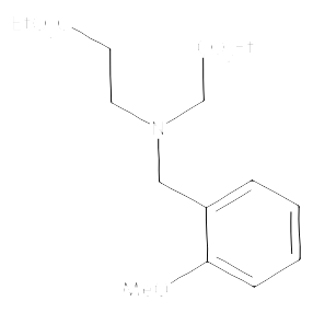 CCOC(=O)CCN(CC(=O)OCC)Cc1ccccc1OC